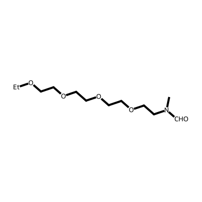 CCOCCOCCOCCOCCN(C)C=O